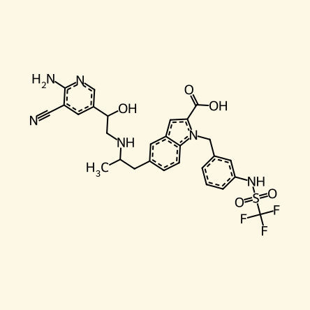 CC(Cc1ccc2c(c1)cc(C(=O)O)n2Cc1cccc(NS(=O)(=O)C(F)(F)F)c1)NCC(O)c1cnc(N)c(C#N)c1